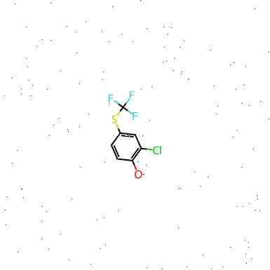 [O]c1ccc(SC(F)(F)F)cc1Cl